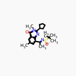 CC(=N[S@+]([O-])C(C)(C)C)c1cc(C)cc2c(=O)n(C)c(C3CCCC3)nc12